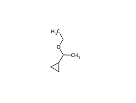 CCOC(C)C1CC1